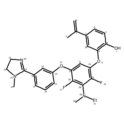 C=C(C)c1ccc(O)c(Oc2cc(Oc3cccc(C4=NCCN4C)c3)c(F)c(N(C)CC)c2F)c1